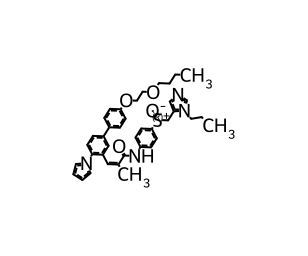 CCCCOCCOc1ccc(-c2ccc(-n3cccc3)c(C=C(C)C(=O)Nc3ccc([S@@+]([O-])Cc4cncn4CCC)cc3)c2)cc1